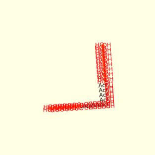 CC(=O)C(O)O.CC(=O)C(O)O.CC(=O)C(O)O.CC(=O)C(O)O.CC(=O)C(O)O.CC(=O)C(O)O.CC(=O)C(O)O.CC(=O)C(O)O.CC(=O)C(O)O.CC(=O)C(O)O.O=P(O)(O)O.O=P(O)(O)O.O=P(O)(O)O.O=P(O)(O)O.O=P(O)(O)O.O=P(O)(O)O.O=P(O)(O)O.O=P(O)(O)O.O=P(O)(O)O.O=P(O)(O)O.O=P(O)(O)O.O=P(O)(O)O.O=P(O)(O)O.O=P(O)(O)O.O=P(O)(O)O